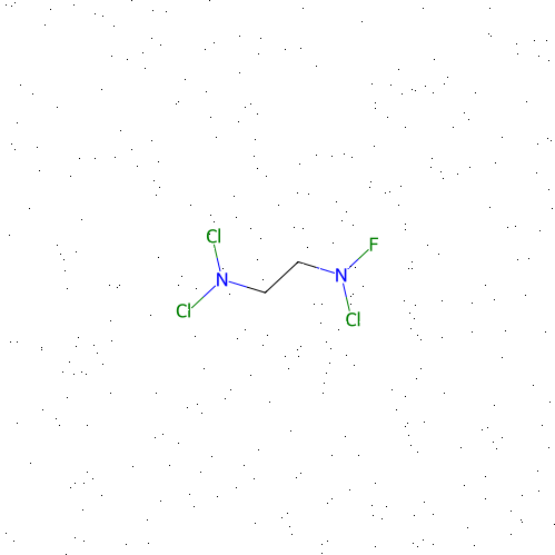 FN(Cl)CCN(Cl)Cl